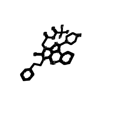 O=C(Cn1c(=O)n(CCc2ccccc2)c(=O)c2c1nc(N1CCNCC1)n2-c1ccccc1Cl)OC(=O)C(F)(F)F